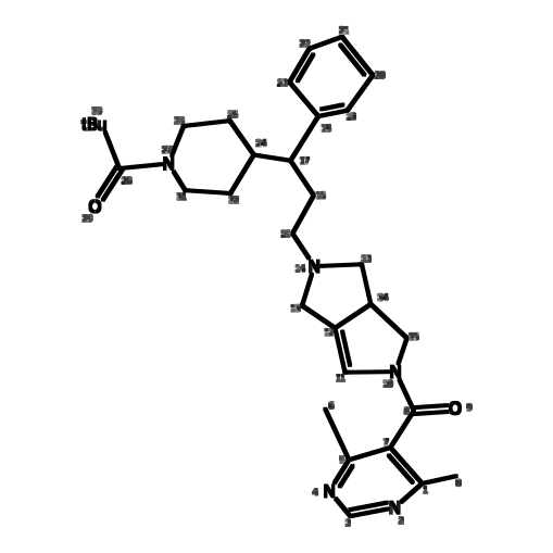 Cc1ncnc(C)c1C(=O)N1C=C2CN(CCC(c3ccccc3)C3CCN(C(=O)C(C)(C)C)CC3)CC2C1